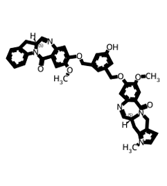 COc1cc2c(cc1OCc1cc(O)cc(COc3cc4c(cc3OC)C(=O)N3c5ccccc5C[C@H]3C=N4)c1)N=C[C@@H]1Cc3c(ccn3C)CN1C2=O